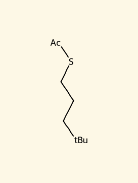 CC(=O)SCCCC(C)(C)C